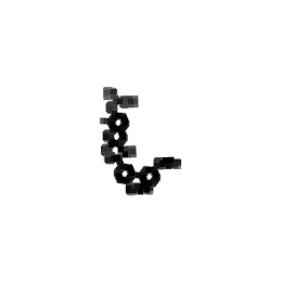 CCC(O)Oc1ccc2cc(NC(=O)c3ccc(OC)c(-c4cccc(OC)c4)c3)c(=O)oc2c1C